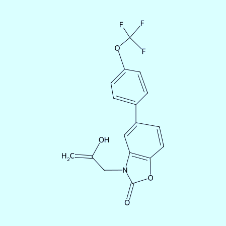 C=C(O)Cn1c(=O)oc2ccc(-c3ccc(OC(F)(F)F)cc3)cc21